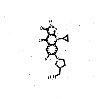 NCC1CCN(c2cc3c(cc2F)c(=O)c2c(=O)[nH]sc2n3C2CC2)C1